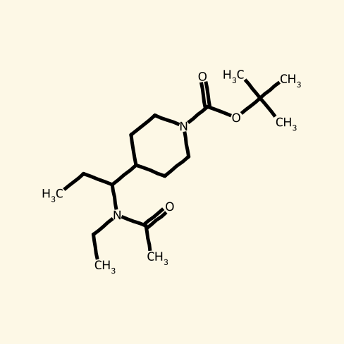 CCC(C1CCN(C(=O)OC(C)(C)C)CC1)N(CC)C(C)=O